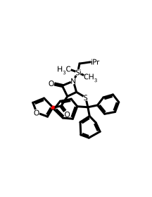 CC(C)C[Si](C)(C)N1C(=O)C(C(=O)c2ccoc2)C1SC(c1ccccc1)(c1ccccc1)c1ccccc1